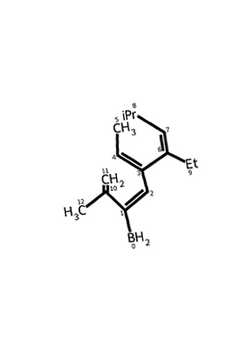 B/C(=C/C(=C/C)C(=C\C(C)C)/CC)C(=C)C